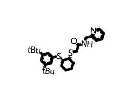 CC(C)(C)c1cc(S[C@@H]2CCCC[C@H]2SCC(=O)NCc2ccccn2)cc(C(C)(C)C)c1